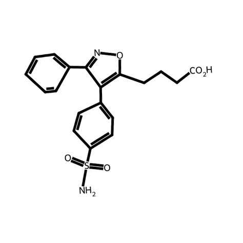 NS(=O)(=O)c1ccc(-c2c(-c3ccccc3)noc2CCCC(=O)O)cc1